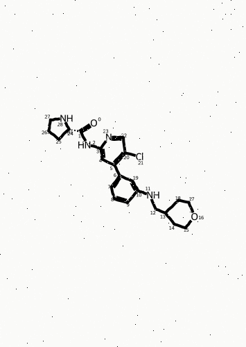 O=C(Nc1cc(-c2cccc(NCC3CCOCC3)c2)c(Cl)cn1)[C@@H]1CCCN1